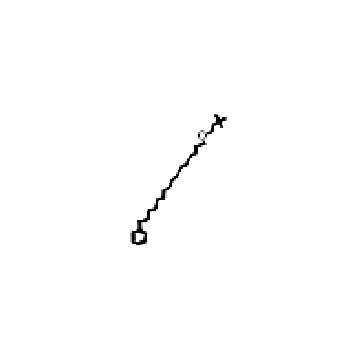 CC(C)(C)CCOCCCCCCCCCCCCCCCCc1ccccc1